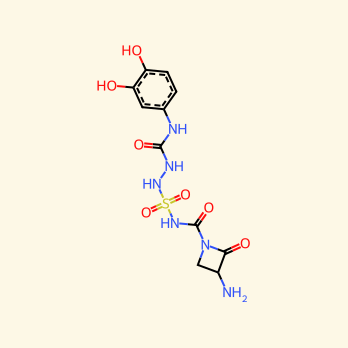 NC1CN(C(=O)NS(=O)(=O)NNC(=O)Nc2ccc(O)c(O)c2)C1=O